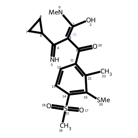 CN/C(O)=C(\C(=N)C1CC1)C(=O)c1ccc(S(C)(=O)=O)c(SC)c1C